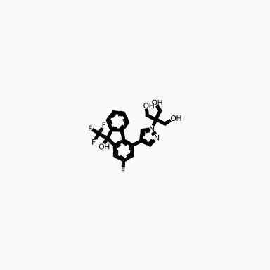 OCC(CO)(CO)n1cc(-c2cc(F)cc3c2-c2ccccc2C3(O)C(F)(F)F)cn1